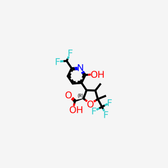 CC1C(c2ccc(C(F)F)nc2O)[C@H](C(=O)O)OC1(C)C(F)(F)F